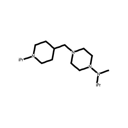 CC(C)N1CCC(CN2CCN(N(C)C(C)C)CC2)CC1